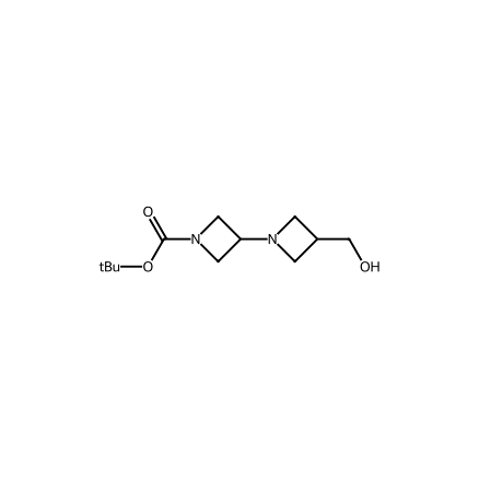 CC(C)(C)OC(=O)N1CC(N2CC(CO)C2)C1